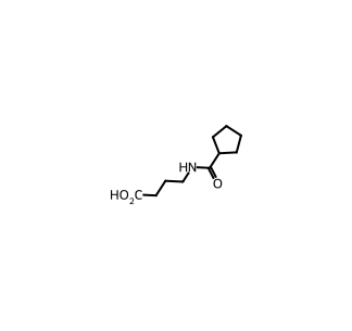 O=C(O)CCCNC(=O)C1CCCC1